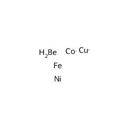 [BeH2].[Co].[Cu].[Fe].[Ni]